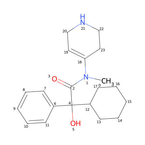 CN(C(=O)C(O)(c1ccccc1)C1CCCCC1)C1=CCNCC1